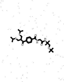 CC(C)SCC(CSC(C)C)C(=O)c1ccc(C(=O)NCC(=O)NC(C)(C)COC(C)(C)C)cc1